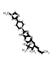 C=C(/C(=C\C=C/C)Cc1cnc2[nH]c(N3CCC(c4cn(C)cn4)CC3)nc2n1)C(C)(C)F